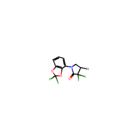 CCC1CN(c2cccc3c2OC(F)(F)O3)C(=O)C1(F)F